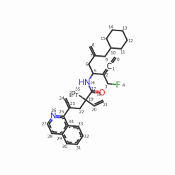 C=C=C(CF)C(CC(=C)CC1CCCCC1)NC(=O)C(C=C)(CC(=C)c1nccc2ccccc12)C(C)C